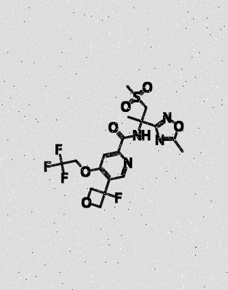 Cc1nc(C(C)(CS(C)(=O)=O)NC(=O)c2cc(OCC(F)(F)F)c(C3(F)COC3)cn2)no1